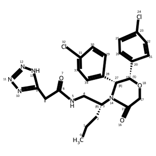 CCC[C@H](CNC(=O)Cc1nnn[nH]1)N1C(=O)CO[C@@H](c2ccc(Cl)cc2)[C@H]1c1ccc(Cl)cc1